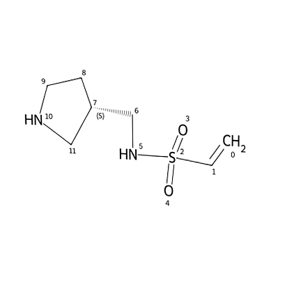 C=CS(=O)(=O)NC[C@H]1CCNC1